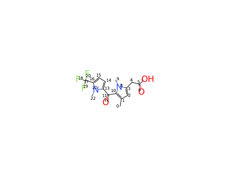 Cc1cc(CC(=O)O)n(C)c1C(=O)c1ccc(C(F)(F)F)n1C